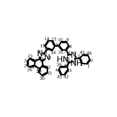 c1ccc(C2=NC(c3cccc(-c4cccc(C5=NC6C(=N5)c5ccccc5-c5ccccc56)c4)c3)NC(c3ccccc3)N2)cc1